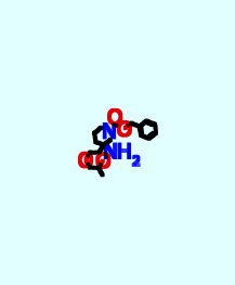 CC1COCC(C2(N)CCCN(C(=O)OCc3ccccc3)C2)O1